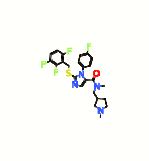 CN1CCC(CN(C)C(=O)c2cnc(SCc3c(F)ccc(F)c3F)n2-c2ccc(F)cc2)C1